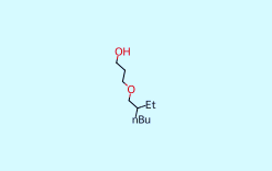 CCCCC(CC)COCCCO